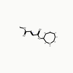 COC(=O)/C=C/C(=O)OC1CCCCCOC1